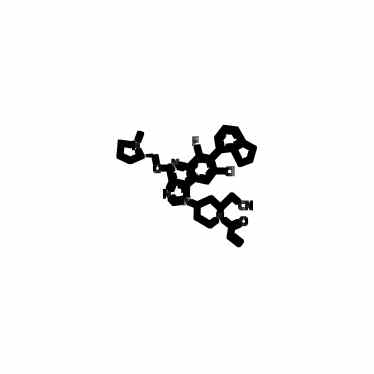 C=CC(=O)N1CCC(n2cnc3c(OC[C@@H]4CCCN4C)nc4c(F)c(-c5cccc6c5CCC6)c(Cl)cc4c32)CC1CC#N